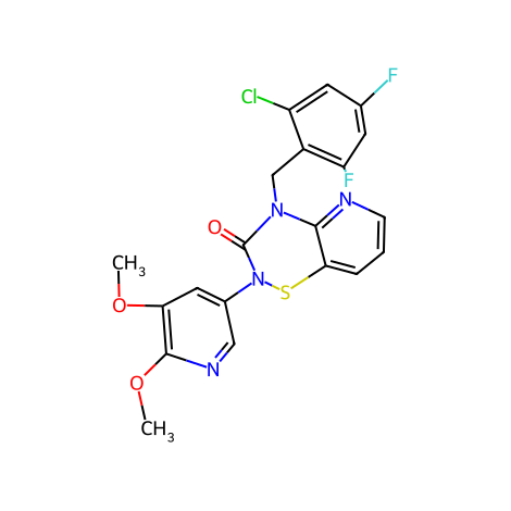 COc1cc(N2Sc3cccnc3N(Cc3c(F)cc(F)cc3Cl)C2=O)cnc1OC